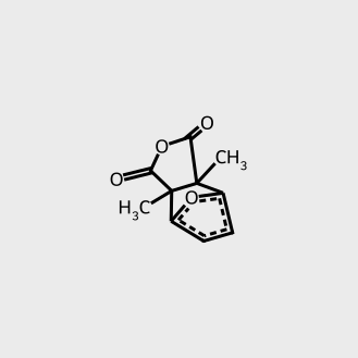 CC12C(=O)OC(=O)C1(C)c1ccc2o1